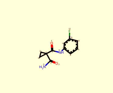 NC(=O)C1(C(=O)Nc2cccc(F)c2)CC1